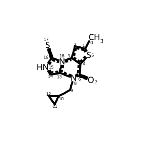 Cc1cc2c(s1)c(=O)n(CC1CC1)c1c[nH]c(=S)n21